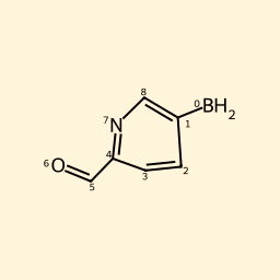 Bc1ccc(C=O)nc1